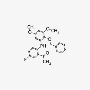 COc1cc(OC)c(OCc2ccccc2)c(Pc2ccc(F)cc2C(C)=O)c1